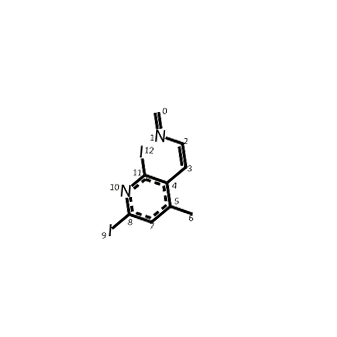 C=N/C=C\c1c(C)cc(I)nc1I